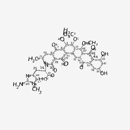 COc1c(OC)c2c(=O)c3cc(C)n(C(Cc4cn(C)c(N)n4)C(=O)O)c(=O)c3c(=O)c2c2cc3c(=O)c4cc(O)cc(O)c4c(=O)c3c(OC)c12